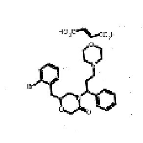 O=C(O)C=CC(=O)O.O=C1COC(Cc2ccccc2Br)CN1C(CCN1CCOCC1)c1ccccc1